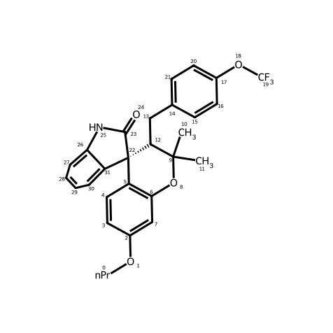 CCCOc1ccc2c(c1)OC(C)(C)C(Cc1ccc(OC(F)(F)F)cc1)[C@]21C(=O)Nc2ccccc21